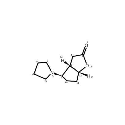 O=C1C[C@H]2[C@H](N3CCCC3)CC[C@H]2O1